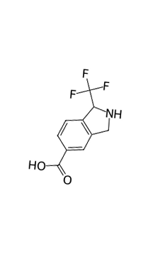 O=C(O)c1ccc2c(c1)CNC2C(F)(F)F